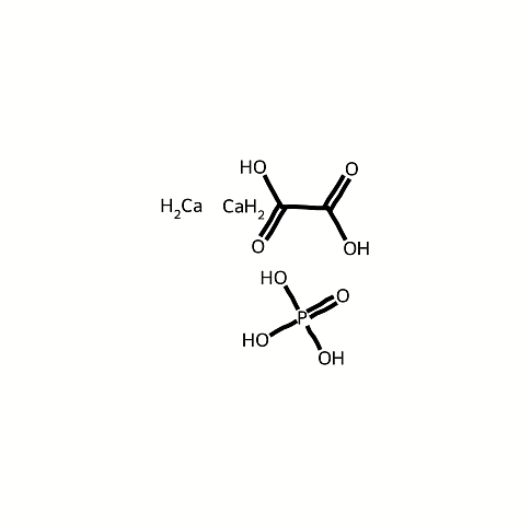 O=C(O)C(=O)O.O=P(O)(O)O.[CaH2].[CaH2]